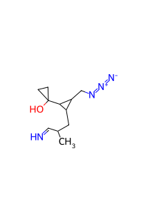 CC(C=N)CC1C(CN=[N+]=[N-])C1C1(O)CC1